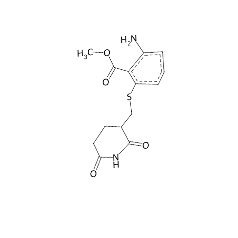 COC(=O)c1c(N)cccc1SCC1CCC(=O)NC1=O